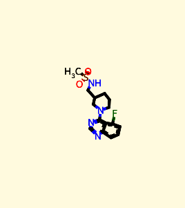 CS(=O)(=O)NCC1CCCN(c2ncnc3cccc(F)c23)C1